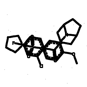 COc1ccc(S(=O)(=O)N2CCCC2)cc1N1C2CCC1CN(C(=O)c1ccc(F)cc1Cl)C2